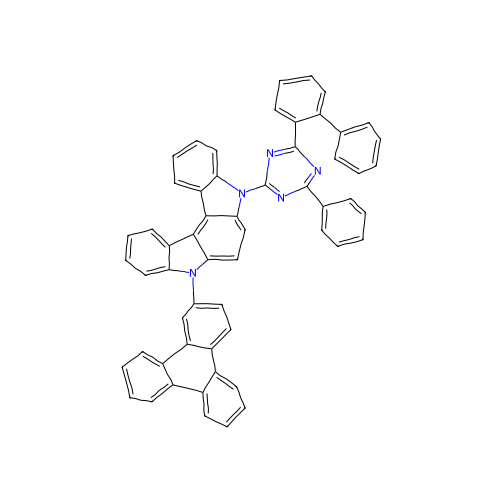 c1ccc(-c2nc(-c3ccccc3-c3ccccc3)nc(-n3c4ccccc4c4c5c6ccccc6n(-c6ccc7c8ccccc8c8ccccc8c7c6)c5ccc43)n2)cc1